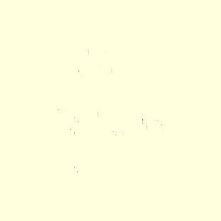 C[C@@H](c1ccc(C(F)(F)F)nc1)n1nc(C#N)c2c(=O)[nH]c([C@@H]3CC[C@H]3n3cccn3)nc21